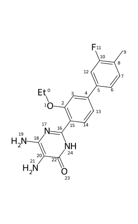 CCOc1cc(-c2ccc(C)c(F)c2)ccc1-c1nc(N)c(N)c(=O)[nH]1